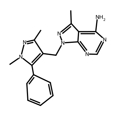 Cc1nn(C)c(-c2ccccc2)c1Cn1nc(C)c2c(N)ncnc21